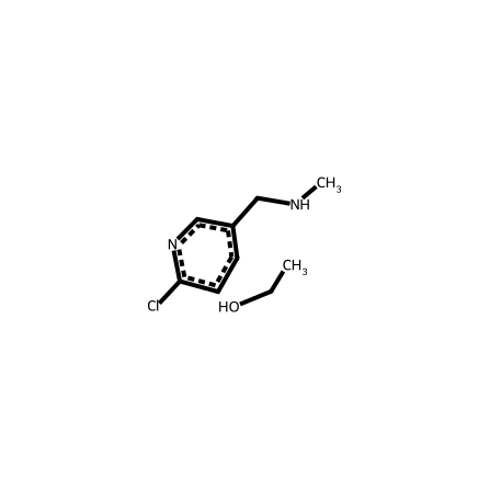 CCO.CNCc1ccc(Cl)nc1